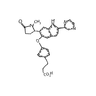 CN1C(=O)CCC1c1cc2[nH]c(-c3cnccn3)cc2cc1Oc1ccc(CCC(=O)O)cc1